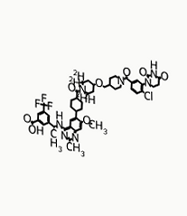 [2H]C1([2H])CC(OCC2CCN(C(=O)c3ccc(Cl)c(N4CCC(=O)NC4=O)c3)CC2)CC([2H])([2H])N1C(=O)C1CCC(c2cc3c(N[C@H](C)c4cc(C(=O)O)cc(C(F)(F)F)c4)nc(C)nc3cc2OC)CC1